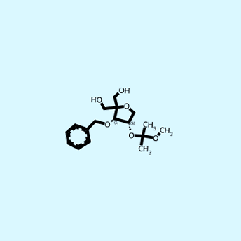 COC(C)(C)O[C@H]1COC(CO)(CO)[C@H]1OCc1ccccc1